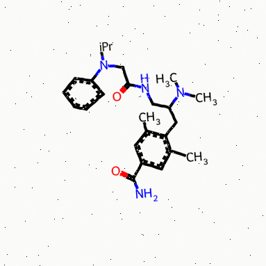 Cc1cc(C(N)=O)cc(C)c1CC(CNC(=O)CN(c1ccccc1)C(C)C)N(C)C